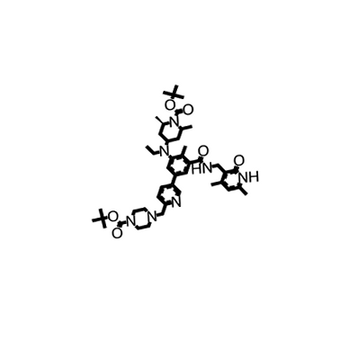 CCN(c1cc(-c2ccc(CN3CCN(C(=O)OC(C)(C)C)CC3)nc2)cc(C(=O)NCc2c(C)cc(C)[nH]c2=O)c1C)C1CC(C)N(C(=O)OC(C)(C)C)[C@H](C)C1